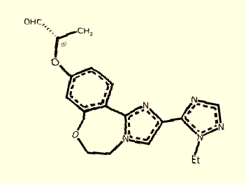 CCn1ncnc1-c1cn2c(n1)-c1ccc(O[C@@H](C)C=O)cc1OCC2